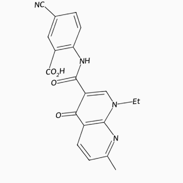 CCn1cc(C(=O)Nc2ccc(C#N)cc2C(=O)O)c(=O)c2ccc(C)nc21